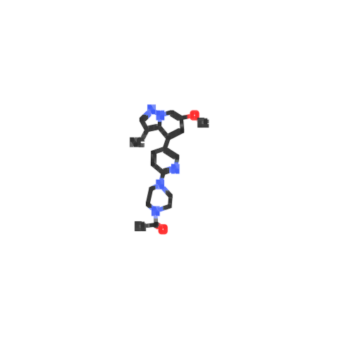 CCOc1cc(-c2ccc(N3CCN(C(=O)CC)CC3)nc2)c2c(C#N)cnn2c1